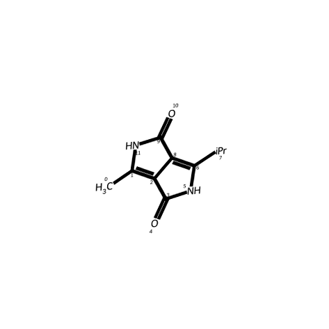 CC1=C2C(=O)NC(C(C)C)=C2C(=O)N1